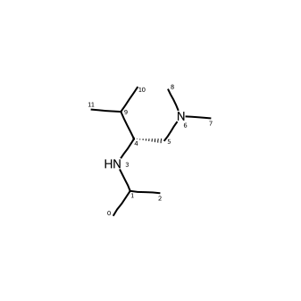 CC(C)N[C@@H](CN(C)C)C(C)C